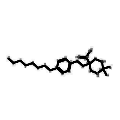 CCCCCCCCc1ccc(CCC2([N+](=O)[O-])COC(C)(C)OC2)cc1